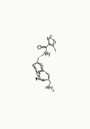 Cc1nonc1C(=O)NCc1cn2ncc(CN)cc2n1